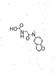 CN(C(=O)CNC(=O)O)c1ccc2occc2c1